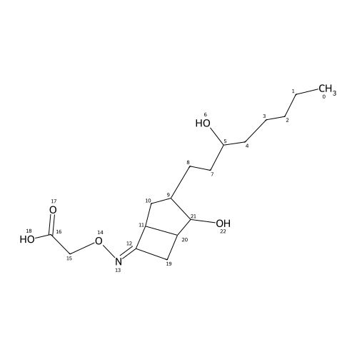 CCCCCC(O)CCC1CC2/C(=N\OCC(=O)O)CC2C1O